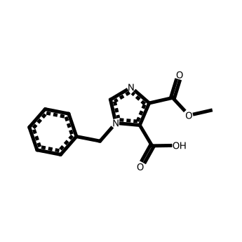 COC(=O)c1ncn(Cc2ccccc2)c1C(=O)O